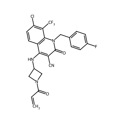 C=CC(=O)N1CC(Nc2c(C#N)c(=O)n(Cc3ccc(F)cc3)c3c(C(F)(F)F)c(Cl)ccc23)C1